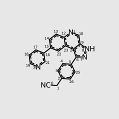 N#CCc1ccc(-c2n[nH]c3cnc4ccc(-c5cccnc5)cc4c23)cc1